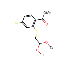 CCOC(CSc1cc(F)ccc1C(=O)OC)OCC